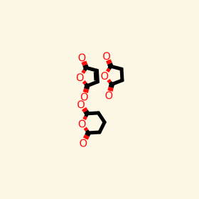 O=C1C=CC(=O)O1.O=C1CCC(=O)O1.O=C1CCCC(=O)O1